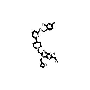 Cc1ccc(COc2cccc(C3=CCN(Cc4nc5[nH]c(C=O)nc5n4CC4CCO4)CC3)n2)c(F)c1